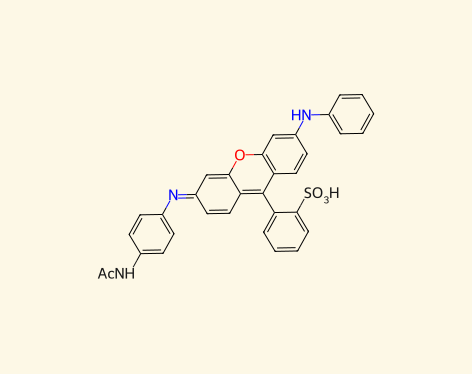 CC(=O)Nc1ccc(/N=c2\ccc3c(-c4ccccc4S(=O)(=O)O)c4ccc(Nc5ccccc5)cc4oc-3c2)cc1